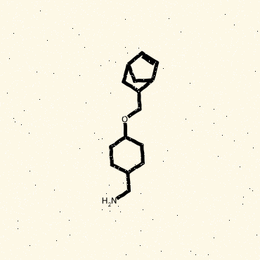 NCC1CCC(OCC2CC3C=CC2C3)CC1